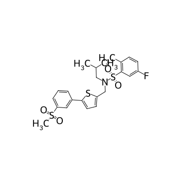 Cc1ccc(F)cc1S(=O)(=O)N(Cc1ccc(-c2cccc(S(C)(=O)=O)c2)s1)CC(C)C